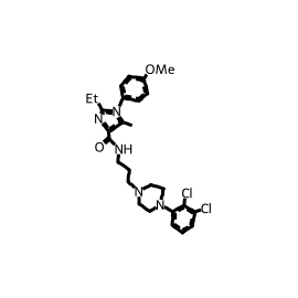 CCc1nc(C(=O)NCCCN2CCN(c3cccc(Cl)c3Cl)CC2)c(C)n1-c1ccc(OC)cc1